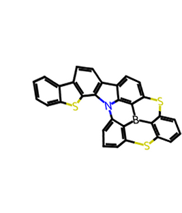 c1cc2c3c(c1)Sc1ccc4c5ccc6c7ccccc7sc6c5n5c4c1B3c1c(cccc1-5)S2